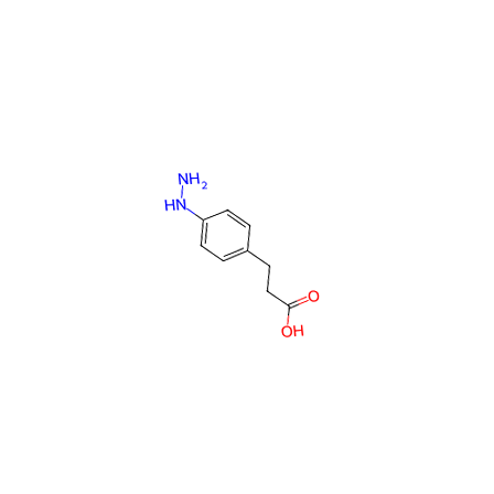 NNc1ccc(CCC(=O)O)cc1